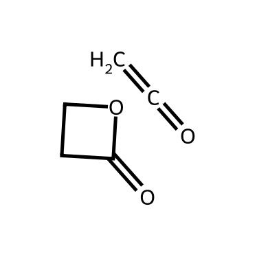 C=C=O.O=C1CCO1